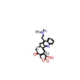 CC[C@@]1(O)C(=O)OCC2=C1/C=C1/c3nc4ccccc4c(CCN(C(C)=O)C(C)C)c3CC1CCC2=O